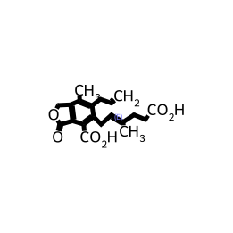 C=CCc1c(C)c2c(c(C(=O)O)c1C/C=C(\C)CCC(=O)O)C(=O)OC2